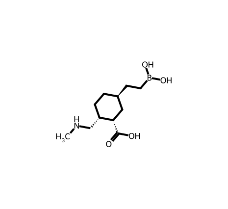 CNC[C@@H]1CC[C@@H](CCB(O)O)C[C@@H]1C(=O)O